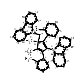 CC1=C(c2ccccc2C(F)(F)F)C(n2c3ccccc3c3ccccc32)=C(c2ccccc2C(F)(F)F)[C@@]1(C)Cn1c2ccccc2c2ccccc21